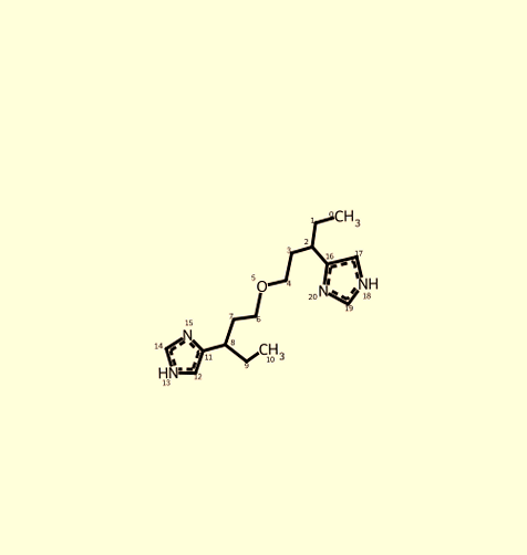 CCC(CCOCCC(CC)c1c[nH]cn1)c1c[nH]cn1